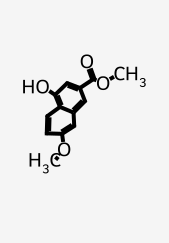 COC(=O)c1cc(O)c2ccc(OC)cc2c1